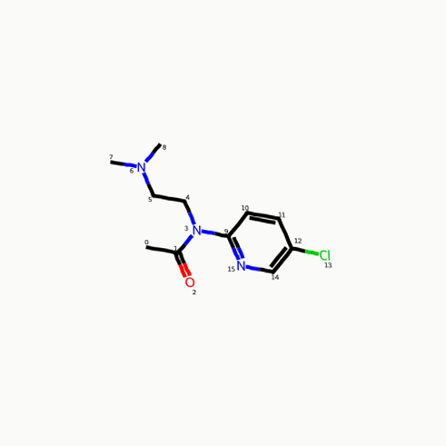 CC(=O)N(CCN(C)C)c1ccc(Cl)cn1